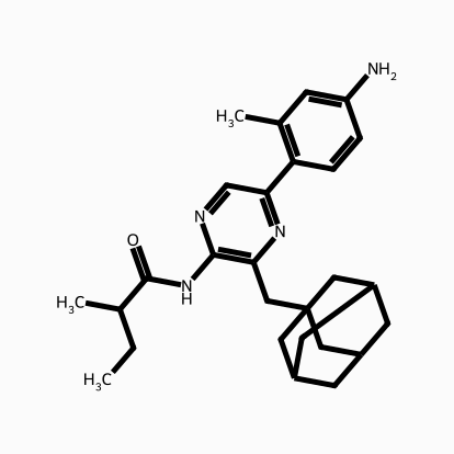 CCC(C)C(=O)Nc1ncc(-c2ccc(N)cc2C)nc1CC12CC3CC(CC(C3)C1)C2